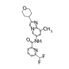 Cc1cc(NC(=O)c2cccc(C(F)F)n2)cn2cc(C3CCOCC3)nc12